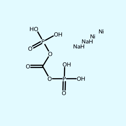 O=C(OP(=O)(O)O)OP(=O)(O)O.[NaH].[NaH].[Ni].[Ni]